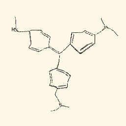 CNC1C=CC(=C(c2ccc(N(C)C)cc2)c2ccc(N(C)C)cc2)C=C1